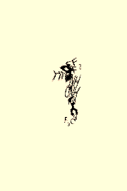 O=C(Nc1cnc(C2CCN(CC(F)(F)F)CC2)cn1)Nc1c[nH]c2ccc(C(F)(F)F)c(F)c12